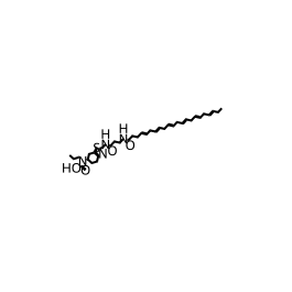 CCC=CCC=CCC=CCC=CCC=CCC=CCCC(=O)NCCC(=O)Nc1nc2c(s1)CC(N(CCC)C(=O)O)CC2